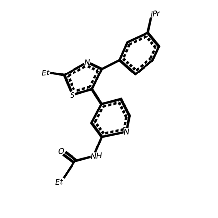 CCC(=O)Nc1cc(-c2sc(CC)nc2-c2cccc(C(C)C)c2)ccn1